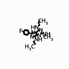 CCCNc1nc(-c2ccc(F)cc2)nc2c(NCCC)nc(NC)nc12